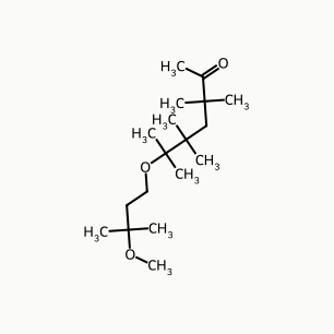 COC(C)(C)CCOC(C)(C)C(C)(C)CC(C)(C)C(C)=O